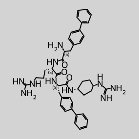 N=C(N)NCCC[C@H](NC(=O)[C@@H](N)Cc1ccc(-c2ccccc2)cc1)C(=O)N[C@@H](Cc1ccc(-c2ccccc2)cc1)C(=O)N[C@H]1CC[C@H](NC(=N)N)CC1